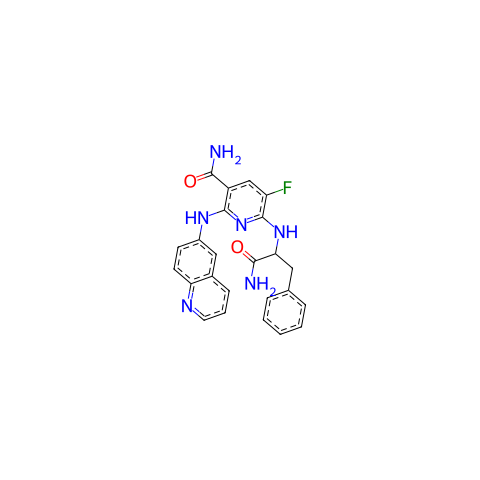 NC(=O)c1cc(F)c(NC(Cc2ccccc2)C(N)=O)nc1Nc1ccc2ncccc2c1